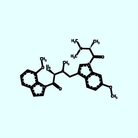 COc1ccc2c(CN(C)[C@H](C)C(=O)n3ccc4cccc(OC)c43)cn(C(=O)[C@@H](C)N(C)C)c2c1